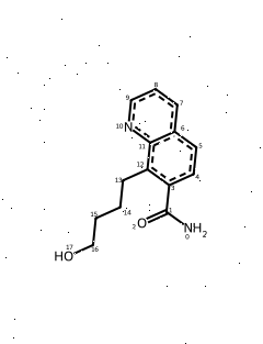 NC(=O)c1ccc2cccnc2c1CCCCO